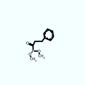 COP(OC)C(=O)CCc1ccccc1